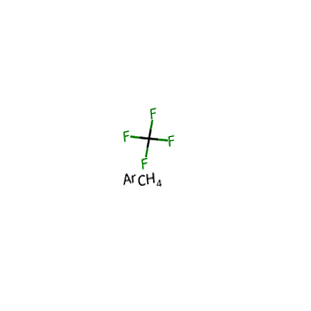 C.FC(F)(F)F.[Ar]